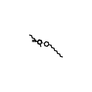 CCCCCCCCC[C@H]1CC[C@H](c2ccc(NCCCC)cc2C)CC1